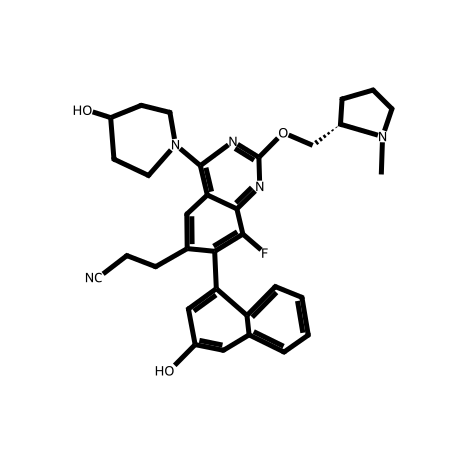 CN1CCC[C@H]1COc1nc(N2CCC(O)CC2)c2cc(CCC#N)c(-c3cc(O)cc4ccccc34)c(F)c2n1